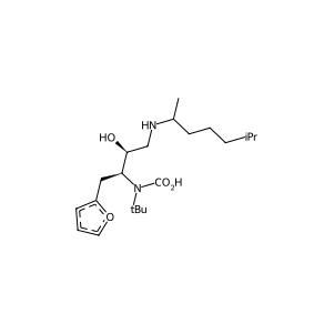 CC(C)CCCC(C)NC[C@H](O)[C@H](Cc1ccco1)N(C(=O)O)C(C)(C)C